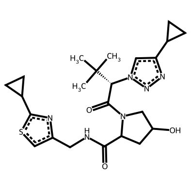 CC(C)(C)[C@@H](C(=O)N1CC(O)CC1C(=O)NCc1csc(C2CC2)n1)n1cc(C2CC2)nn1